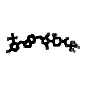 CC(C)(C)OC(=O)N1CCC(N2C(=O)SC(=Cc3ccc4c(cnn4Cc4ccc(Cl)cc4C(F)(F)F)c3)C2=O)C(O)C1